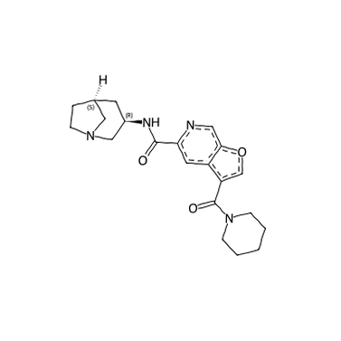 O=C(N[C@@H]1C[C@@H]2CCN(C2)C1)c1cc2c(C(=O)N3CCCCC3)coc2cn1